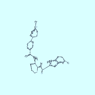 O=C(N[C@@H]1CCCC[C@@H]1NC(=O)c1cc2cc(Cl)ccc2[nH]1)c1ccc(-c2cc[n+]([O-])cc2)cc1